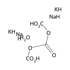 O.O=C(O)OC(=O)OC(=O)O.[KH].[KH].[NaH].[NaH]